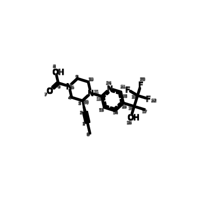 CC#C[C@H]1CN(C(=O)O)CCN1c1ccc(C(C)(O)C(F)(F)F)cn1